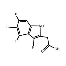 O=C(O)Cc1[nH]c2cc(F)c(F)c(F)c2c1F